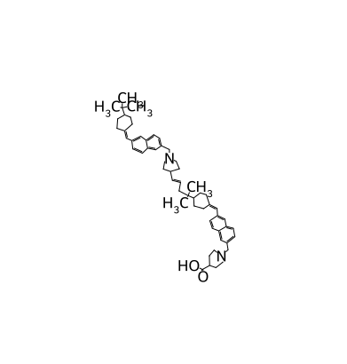 CC(C)(C)C1CCC(=Cc2ccc3cc(CN4CCC(/C=C/CC(C)(C)C5CCC(=Cc6ccc7cc(CN8CCC(C(=O)O)CC8)ccc7c6)CC5)CC4)ccc3c2)CC1